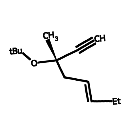 C#C[C@](C)(CC=CCC)OC(C)(C)C